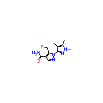 Cc1c(-n2ncc(C(N)=O)c2CF)nn(C)c1C